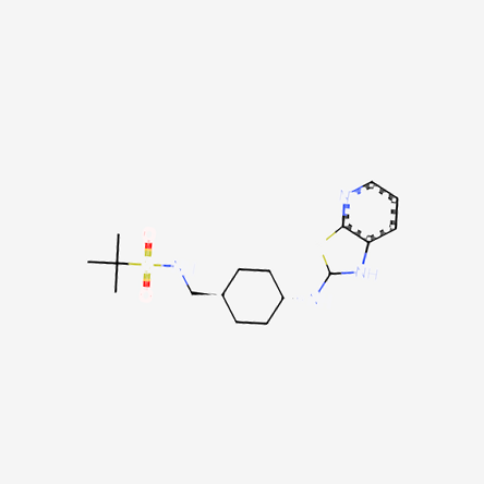 CC(C)(C)S(=O)(=O)NC[C@H]1CC[C@H](NC2Nc3cccnc3S2)CC1